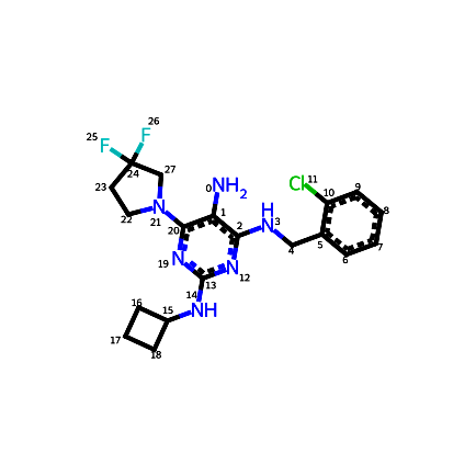 Nc1c(NCc2ccccc2Cl)nc(NC2CCC2)nc1N1CCC(F)(F)C1